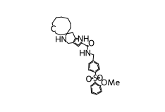 COc1ccccc1S(=O)(=O)c1ccc(CNC(=O)c2cc3c([nH]2)CC2(CCCCCCCCC2)NC3)cc1